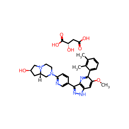 COc1cc2[nH]nc(-c3ccc(N4CCN5C[C@H](O)C[C@H]5C4)nc3)c2nc1-c1cccc(C)c1C.O=C(O)C[C@H](O)C(=O)O